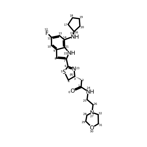 O=C(C[C@@H]1CSC(c2cc3cc(F)cc(NC4CCCC4)c3[nH]2)=N1)NCCN1CCOCC1